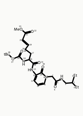 CCC(CC)CNC(=O)Cn1cccc(NC(=O)C(CC/C=C/C(=O)OC)NC(=O)OC(C)(C)C)c1=O